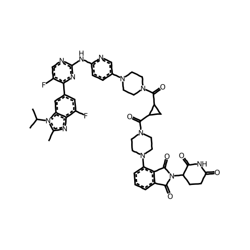 Cc1nc2c(F)cc(-c3nc(Nc4ccc(N5CCN(C(=O)C6CC6C(=O)N6CCN(c7cccc8c7C(=O)N(C7CCC(=O)NC7=O)C8=O)CC6)CC5)cn4)ncc3F)cc2n1C(C)C